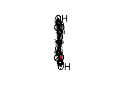 O=S(=O)(c1ccc(O)cc1)c1ccc(OCc2ccc(COc3ccc(S(=O)(=O)c4ccc(O)cc4)cc3)cc2)cc1